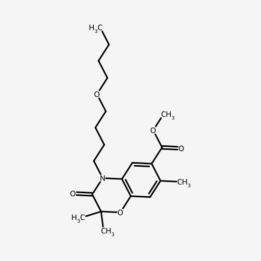 CCCCOCCCCN1C(=O)C(C)(C)Oc2cc(C)c(C(=O)OC)cc21